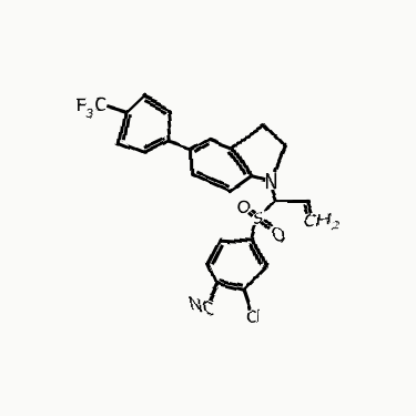 C=CC(N1CCc2cc(-c3ccc(C(F)(F)F)cc3)ccc21)S(=O)(=O)c1ccc(C#N)c(Cl)c1